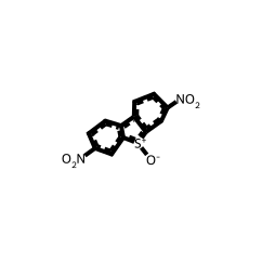 O=[N+]([O-])c1ccc2c3ccc([N+](=O)[O-])cc3[s+]([O-])c2c1